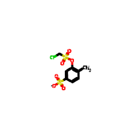 Cc1ccc(S([O])(=O)=O)cc1OS(=O)(=O)CCl